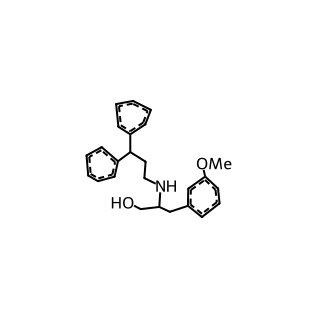 COc1cccc(CC(CO)NCCC(c2ccccc2)c2ccccc2)c1